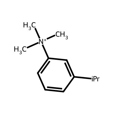 CC(C)c1cccc([N+](C)(C)C)c1